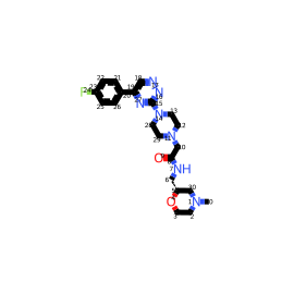 CN1CCO[C@H](CNC(=O)CN2CCN(c3nncc(-c4ccc(F)cc4)n3)CC2)C1